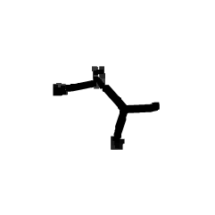 CCNC(C)Br